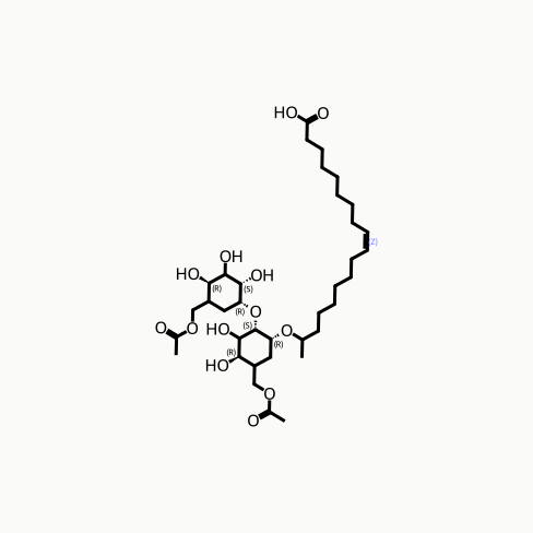 CC(=O)OCC1C[C@@H](O[C@H]2C(O)[C@H](O)C(COC(C)=O)C[C@H]2OC(C)CCCCCC/C=C\CCCCCCCC(=O)O)[C@@H](O)C(O)[C@@H]1O